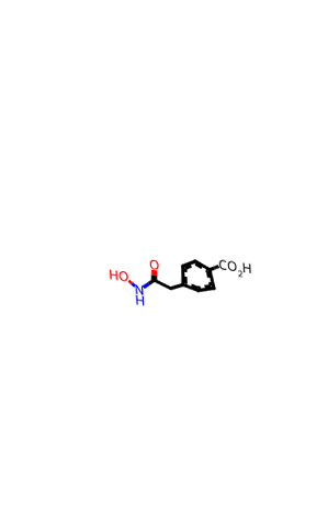 O=C(Cc1ccc(C(=O)O)cc1)NO